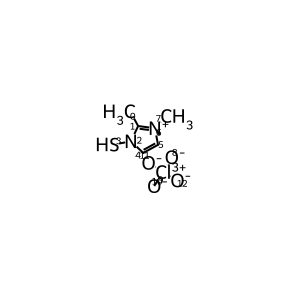 Cc1n(S)cc[n+]1C.[O-][Cl+3]([O-])([O-])[O-]